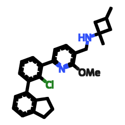 COc1nc(-c2cccc(-c3cccc4c3CCC4)c2Cl)ccc1CNC1(C)CC(C)C1